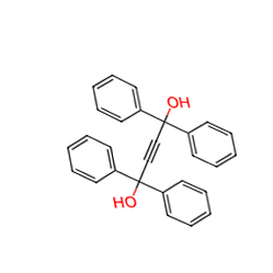 OC(C#CC(O)(c1ccccc1)c1ccccc1)(c1ccccc1)c1ccccc1